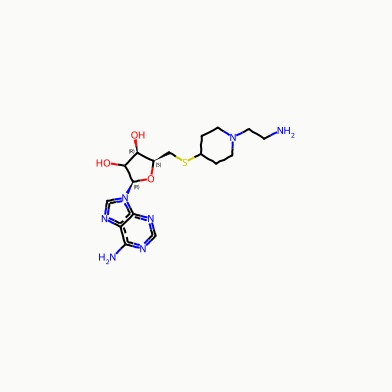 NCCN1CCC(SC[C@H]2O[C@@H](n3cnc4c(N)ncnc43)C(O)[C@H]2O)CC1